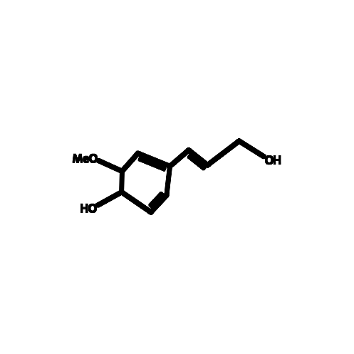 COC1C=C(/C=C/CO)C=CC1O